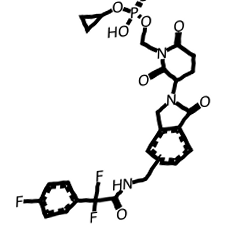 O=C1CCC(N2Cc3cc(CNC(=O)C(F)(F)c4ccc(F)cc4)ccc3C2=O)C(=O)N1COP(=O)(O)OC1CC1